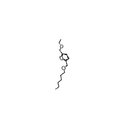 CCCCCCOCc1ccc(COCC)o1